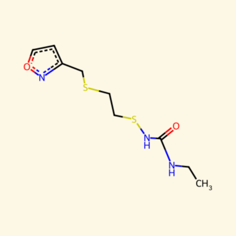 CCNC(=O)NSCCSCc1ccon1